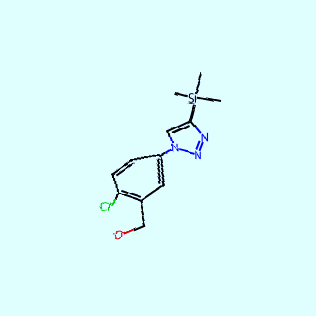 C[Si](C)(C)c1cn(-c2ccc(Cl)c(C[O])c2)nn1